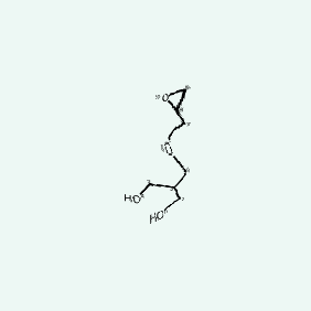 OCC(CO)COCC1CO1